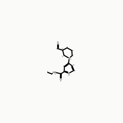 CCNC(=O)c1cc(N2CCCC(C=O)C2)ccn1